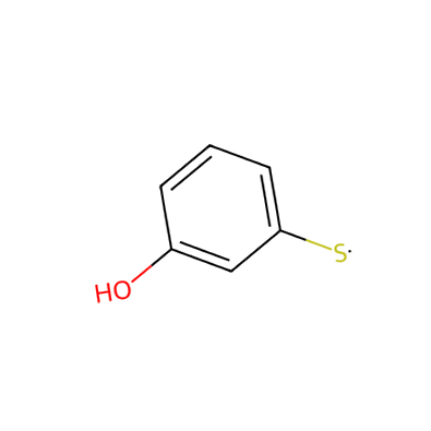 Oc1cccc([S])c1